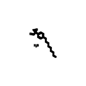 CCCCCCCCCc1ccc(C2(C=O)CO2)cc1.O